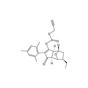 C#CCOC(=O)OC1=C(c2c(C)cc(C)cc2C)C(=O)[C@@H]2C3O[C@@H](C[C@H]3CC)[C@H]12